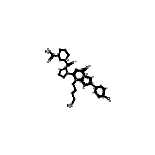 CCCCCn1c(N2CCC[C@H]2C(=O)N2CCCC(C(N)=O)C2)cc(=O)n2cc(-c3ccc(Cl)cc3)nc12